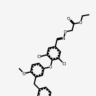 CCOC(=O)CON=Cc1cc(Cl)c(Oc2ccc(OC)c(Cc3ccccc3)c2)c(Cl)c1